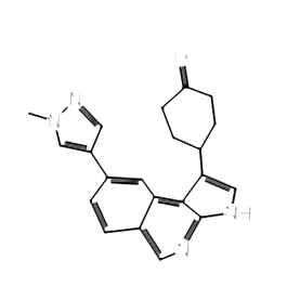 Cn1cc(-c2ccc3cnc4[nH]cc(C5CCC(=O)CC5)c4c3c2)cn1